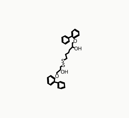 OC(CCCCSSCC(O)COc1ccccc1-c1ccccc1)COc1ccccc1-c1ccccc1